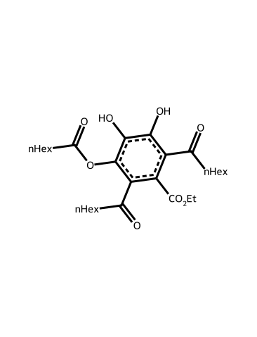 CCCCCCC(=O)Oc1c(O)c(O)c(C(=O)CCCCCC)c(C(=O)OCC)c1C(=O)CCCCCC